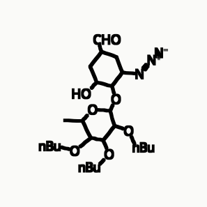 CCCCOC1C(C)OC(OC2C(O)CC(C=O)CC2N=[N+]=[N-])C(OCCCC)C1OCCCC